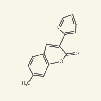 Cc1ccc2cc(-c3ccccn3)c(=O)oc2c1